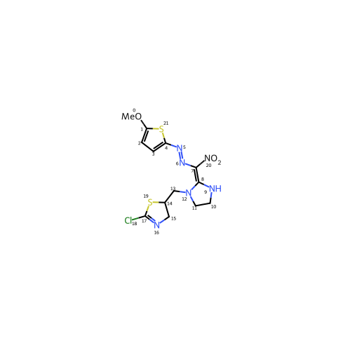 COc1ccc(/N=N/C(=C2/NCCN2CC2CN=C(Cl)S2)[N+](=O)[O-])s1